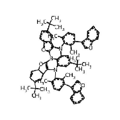 Cc1ccc(-c2coc3ccccc23)c(C)c1N1C2=C(OC3C=CC(C(C)(C)C)=CC23)B2c3oc4ccc(C(C)(C)C)cc4c3N(c3c(C)ccc(-c4coc5ccccc45)c3C)c3cc(C(C)(C)C)cc1c32